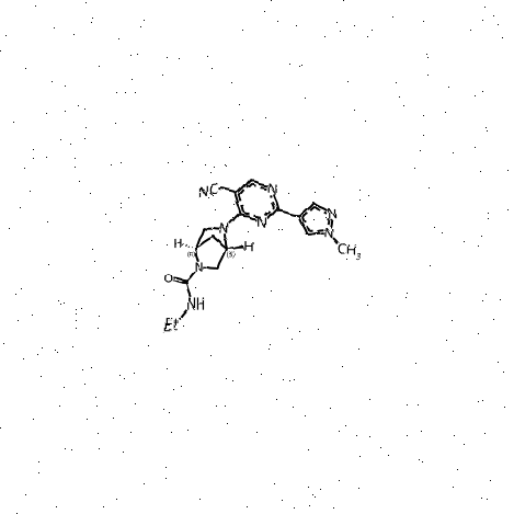 CCNC(=O)N1C[C@@H]2C[C@@H]1CN2c1nc(-c2cnn(C)c2)ncc1C#N